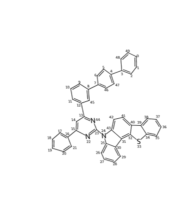 c1ccc(-c2ccc(-c3cccc(-c4cc(-c5ccccc5)nc(-n5c6ccccc6c6c7sc8ccccc8c7ccc65)n4)c3)cc2)cc1